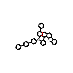 c1ccc(-c2ccc(-c3ccc(N(c4ccc(-c5ccccc5)cc4)c4ccccc4-c4cccc5ccc6c7ccccc7oc6c45)cc3)cc2)cc1